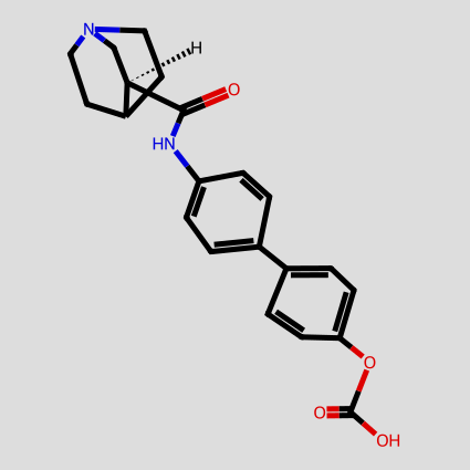 O=C(O)Oc1ccc(-c2ccc(NC(=O)[C@@H]3CN4CCC3CC4)cc2)cc1